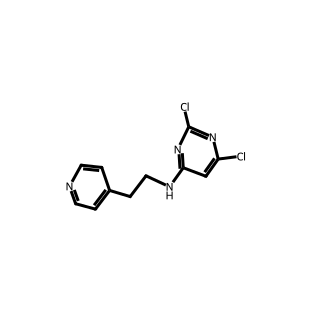 Clc1cc(NCCc2ccncc2)nc(Cl)n1